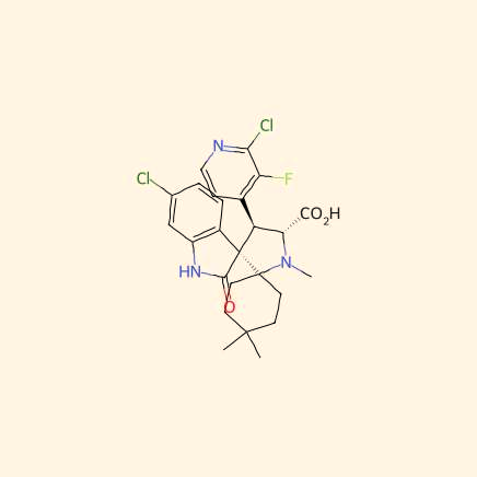 CN1[C@@H](C(=O)O)[C@H](c2ccnc(Cl)c2F)[C@]2(C(=O)Nc3cc(Cl)ccc32)C12CCC(C)(C)CC2